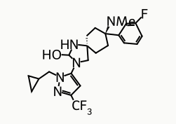 CN[C@]1(c2cccc(F)c2)CC[C@]2(CC1)CN(c1cc(C(F)(F)F)nn1CC1CC1)C(O)N2